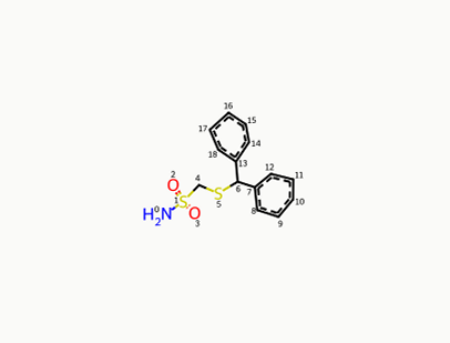 NS(=O)(=O)CSC(c1ccccc1)c1ccccc1